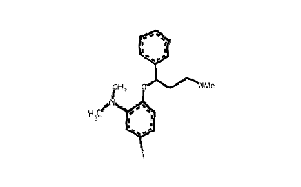 CNCCC(Oc1ccc(I)cc1N(C)C)c1ccccc1